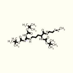 CSSCCNC(=O)C(CCCN/C(=N/C(=O)OC(C)(C)C)NC(=O)OC(C)(C)C)NC(=O)OC(C)(C)C